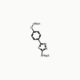 CCCCCCCCCOc1ccc(-c2nnc(CCCCCCC)s2)cc1